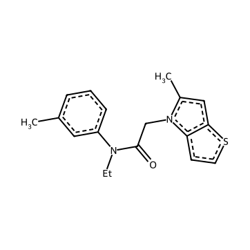 CCN(C(=O)Cn1c(C)cc2sccc21)c1cccc(C)c1